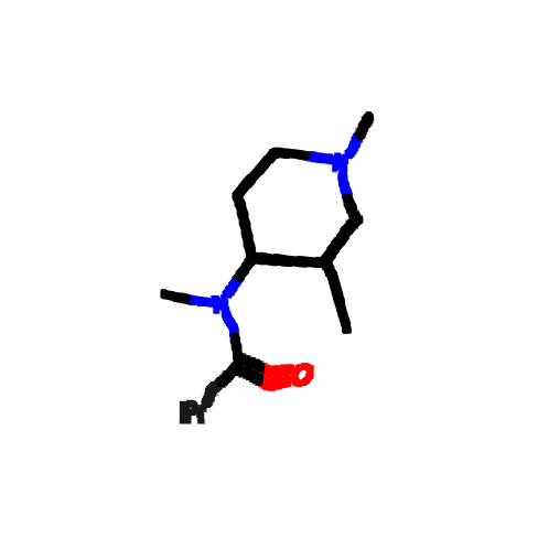 CC(C)C(=O)N(C)C1CCN(C)CC1C